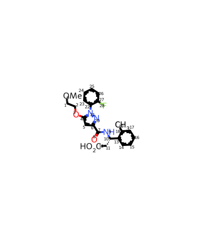 COCCOc1cc(C(=O)N[C@@H](CC(=O)O)c2ccccc2C)nn1-c1ccccc1F